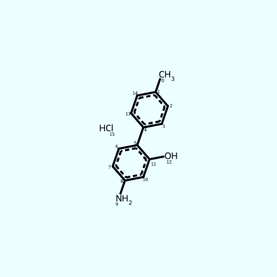 Cc1ccc(-c2ccc(N)cc2O)cc1.Cl